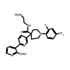 CNCCNC(=O)C1(c2ccc(-c3cccnc3OC)nc2)CCN(c2ccc(C(F)(F)F)cc2F)CC1